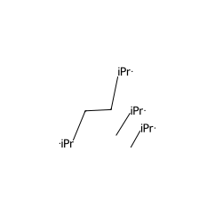 C[C](C)C.C[C](C)C.C[C](C)CC[C](C)C